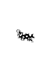 CC(C)c1c2ccc(-c3nc(Cl)ncc3F)c(Cl)c2nn1C